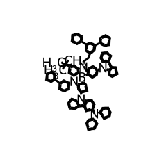 CC(C)(C)c1cc2c3c(c1)N(c1cccc(-c4ccccc4)c1)c1cc(-n4c5ccccc5c5cc(N(c6ccccc6)c6ccccc6)ccc54)ccc1B3c1ccc(-n3c4ccccc4c4ccccc43)cc1N2CCc1cc(-c2ccccc2)cc(-c2ccccc2)c1